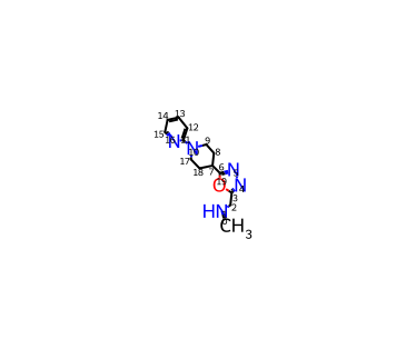 CNCc1nnc(C2CCN(c3ccccn3)CC2)o1